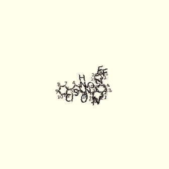 O=c1[nH]c2cc(-c3ccccc3Cl)sc2c(=O)n1-c1cncc2ccc(N3CCC(F)(F)C3)cc12